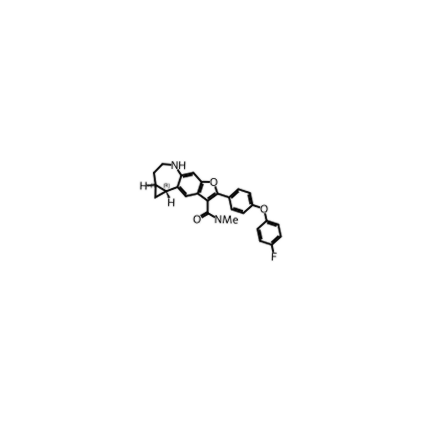 CNC(=O)c1c(-c2ccc(Oc3ccc(F)cc3)cc2)oc2cc3c(cc12)[C@@H]1C[C@@H]1CCN3